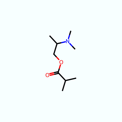 CC(C)C(=O)OCC(C)N(C)C